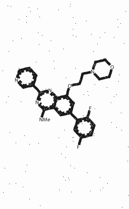 CNc1nc(-c2cccnc2)nc2c(OCCN3CCOCC3)cc(-c3cc(F)ccc3F)cc12